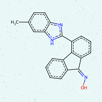 Cc1ccc2nc(-c3cccc4c3-c3ccccc3/C4=N\O)[nH]c2c1